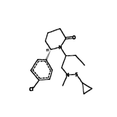 CCC(CN(C)SC1CC1)N1C(=O)CCC[C@H]1c1ccc(Cl)cc1